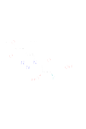 COC(=O)c1cccc2c1nnn2[C@@H]1O[C@H](CO)[C@@H](F)[C@H]1O